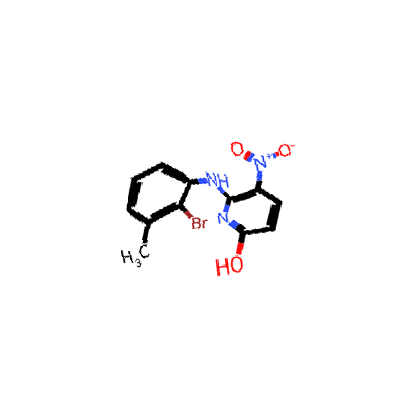 Cc1cccc(Nc2nc(O)ccc2[N+](=O)[O-])c1Br